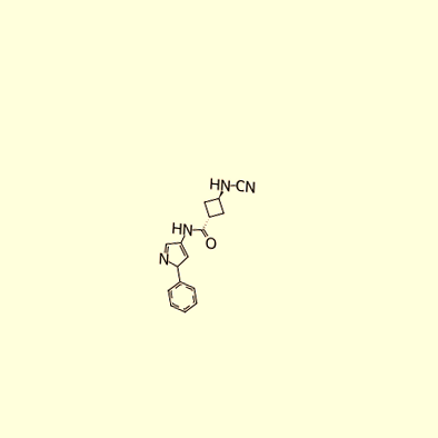 N#CN[C@H]1C[C@H](C(=O)NC2=CC(c3ccccc3)N=C2)C1